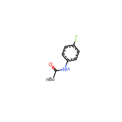 CCCCC(=O)Nc1ccc(F)cc1